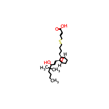 CCCCC(C)(C)C(O)/C=C/[C@H]1[C@@H](CCCCSCC=CC(=O)O)[C@H]2CC[C@@H]1O2